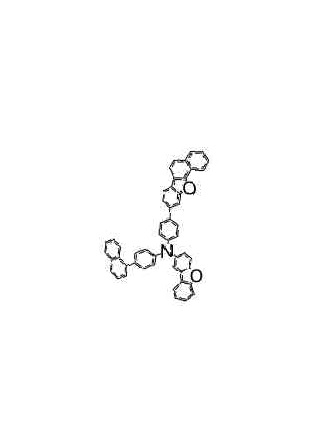 c1ccc2c(-c3ccc(N(c4ccc(-c5ccc6c(c5)oc5c7ccccc7ccc65)cc4)c4ccc5oc6ccccc6c5c4)cc3)cccc2c1